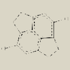 Clc1cc2c3c(c(Cl)cc4c3c1CC4)CC2